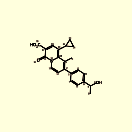 Cc1c(-c2ccc(C(C)O)cc2)ccn2c(=O)c(C(=O)O)cc(C3CC3)c12